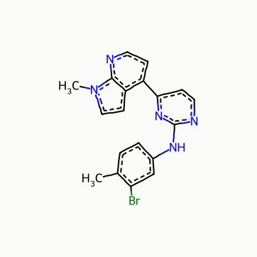 Cc1ccc(Nc2nccc(-c3ccnc4c3ccn4C)n2)cc1Br